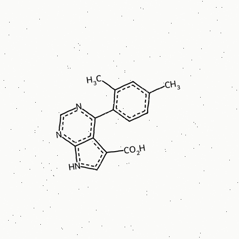 Cc1ccc(-c2ncnc3[nH]cc(C(=O)O)c23)c(C)c1